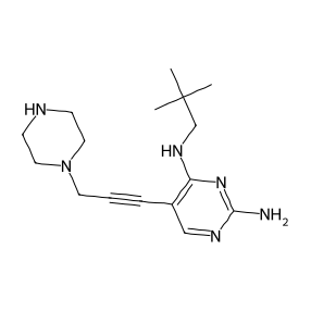 CC(C)(C)CNc1nc(N)ncc1C#CCN1CCNCC1